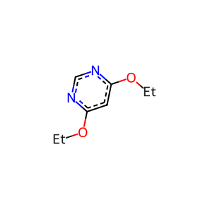 CCOc1cc(OCC)ncn1